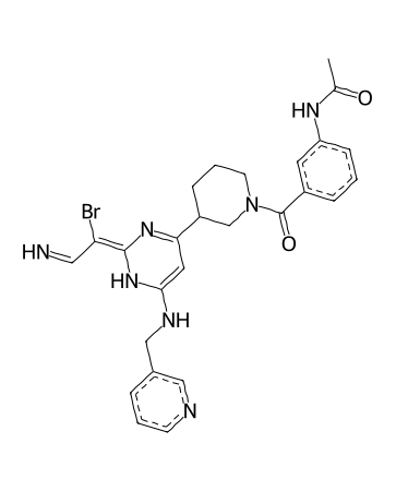 CC(=O)Nc1cccc(C(=O)N2CCCC(C3=N/C(=C(\Br)C=N)NC(NCc4cccnc4)=C3)C2)c1